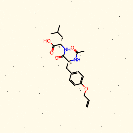 C=CCOc1ccc(C[C@H](NC(C)=O)C(=O)N[C@@H](CC(C)C)C(=O)O)cc1